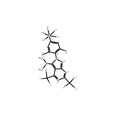 CN(C)c1c2c(C(F)(F)F)nc(C(F)(F)F)nc2nn1-c1c(Cl)cc(S(F)(F)(F)(F)F)cc1Cl